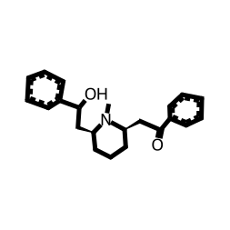 CN1[C@@H](CC(=O)c2ccccc2)CCC[C@H]1CC(O)c1ccccc1